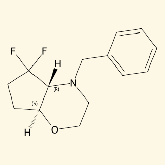 FC1(F)CC[C@@H]2OCCN(Cc3ccccc3)[C@H]21